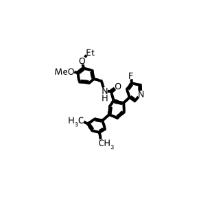 CCOc1cc(CNC(=O)c2cc(-c3cc(C)cc(C)c3)ccc2-c2cncc(F)c2)ccc1OC